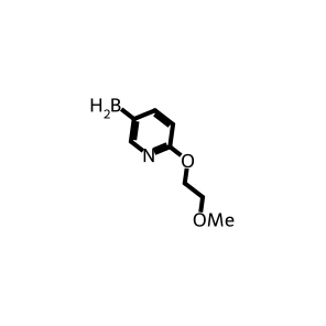 Bc1ccc(OCCOC)nc1